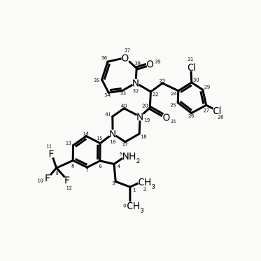 CC(C)CC(N)c1cc(C(F)(F)F)ccc1N1CCN(C(=O)C(Cc2ccc(Cl)cc2Cl)N2C=CC=COC2=O)CC1